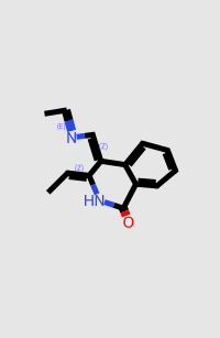 C\C=c1/[nH]c(=O)c2ccccc2/c1=C/N=C/C